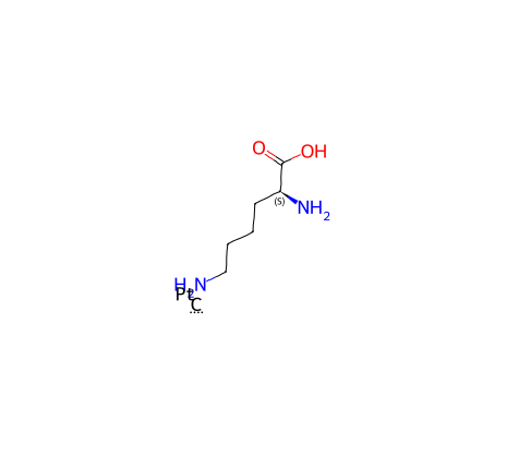 NCCCC[C@H](N)C(=O)O.[C].[Pt]